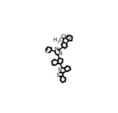 CC1(C)c2ccccc2-c2ccc(-c3nc(-c4ccccc4)cc(-c4ccc(-c5nc6sc7ccccc7c6c6ccccc56)c5ccccc45)n3)cc21